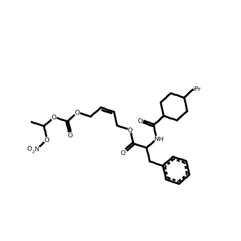 CC(OC(=O)OC/C=C\COC(=O)C(Cc1ccccc1)NC(=O)C1CCC(C(C)C)CC1)O[N+](=O)[O-]